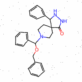 O=C1NNC(c2ccccc2)C12CCN(C(OCc1ccccc1)c1ccccc1)CC2